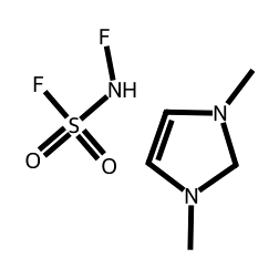 CN1C=CN(C)C1.O=S(=O)(F)NF